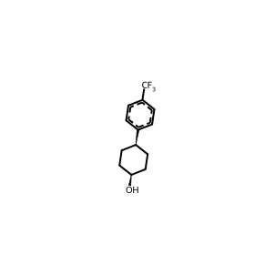 O[C@H]1CC[C@@H](c2ccc(C(F)(F)F)cc2)CC1